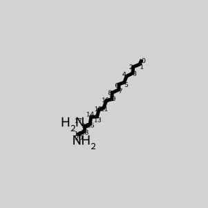 CCCCCCCCCCCCCCCCC(N)CCN